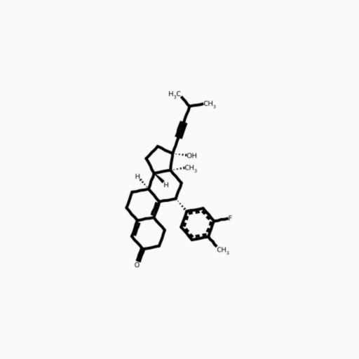 Cc1ccc([C@H]2C[C@@]3(C)[C@@H](CC[C@@]3(O)C#CC(C)C)[C@@H]3CCC4=CC(=O)CCC4=C32)cc1F